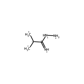 CC(C)C(=N)NN